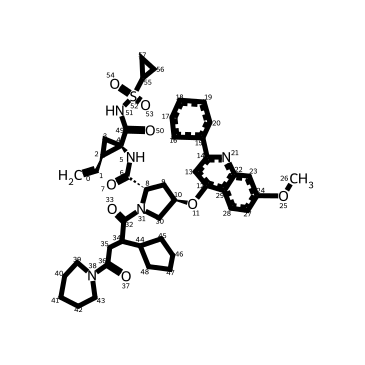 C=C[C@H]1C[C@]1(NC(=O)[C@@H]1C[C@@H](Oc2cc(-c3ccccc3)nc3cc(OC)ccc23)CN1C(=O)C(CC(=O)N1CCCCC1)C1CCCC1)C(=O)NS(=O)(=O)C1CC1